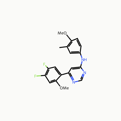 COc1ccc(Nc2cc(-c3cc(F)c(F)cc3OC)ncn2)cc1C